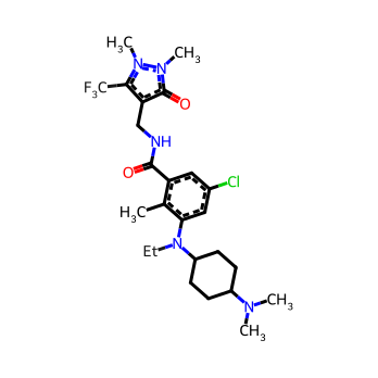 CCN(c1cc(Cl)cc(C(=O)NCc2c(C(F)(F)F)n(C)n(C)c2=O)c1C)C1CCC(N(C)C)CC1